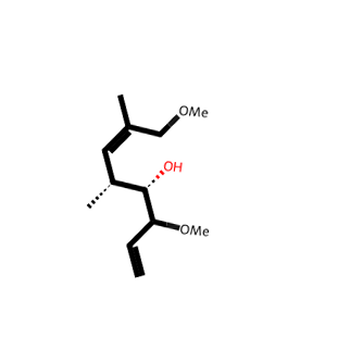 C=CC(OC)[C@@H](O)[C@H](C)/C=C(/C)COC